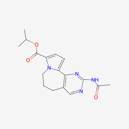 CC(=O)Nc1ncc2c(n1)-c1ccc(C(=O)OC(C)C)n1CCC2